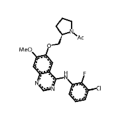 COc1cc2ncnc(Nc3cccc(Cl)c3F)c2cc1OC[C@H]1CCCN1C(C)=O